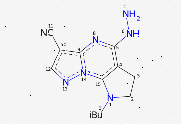 CCC(C)N1CCc2c(NN)nc3c(C#N)cnn3c21